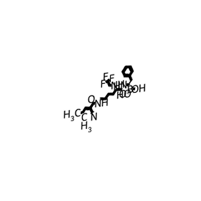 CC(C)C=C(C#N)C(=O)NCCCCC(NCC(F)(F)F)C(=O)N[C@@H](Cc1ccccc1)B(O)O